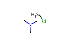 CN(C)C.[SiH3]Cl